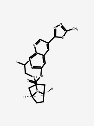 Cc1nnc(-c2cnc3cnc(NC(=O)N4[C@@H]5CC[C@H]4CC(NCC(F)F)C5)cc3c2)s1